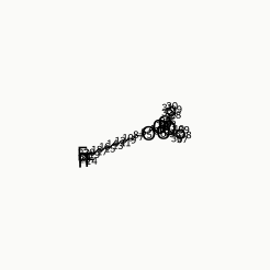 O=P(OCCOCCCCCCCCCCCCCCCC(F)(F)F)(OCc1ccccc1)OCc1ccccc1